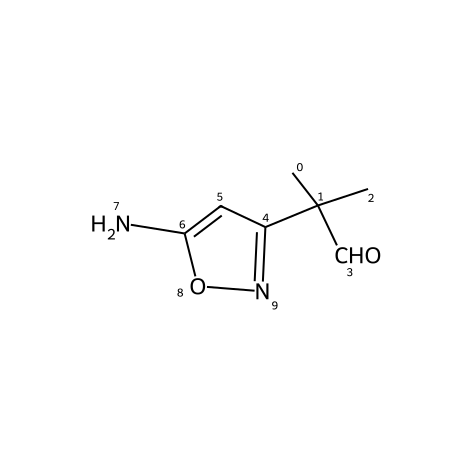 CC(C)(C=O)c1cc(N)on1